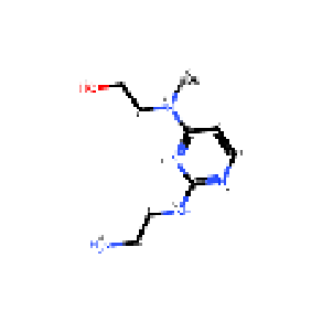 CCCCN(CCO)c1ccnc(NCCN)n1